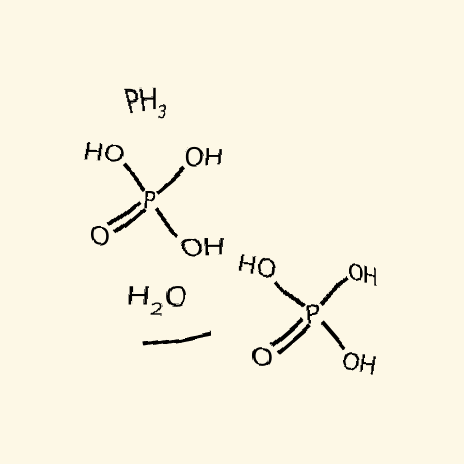 CC.O.O=P(O)(O)O.O=P(O)(O)O.P